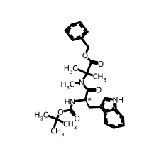 CN(C(=O)[C@@H](Cc1c[nH]c2ccccc12)NC(=O)OC(C)(C)C)C(C)(C)C(=O)OCc1ccccc1